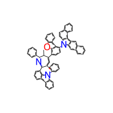 CC1=C=C(c2ccc(-n3c4cc5ccccc5cc4c4c5ccccc5ccc43)c3c2oc2ccccc23)C(C)C(c2ccccc2)N=C1c1cccc2c3ccccc3n(-c3ccccc3)c12